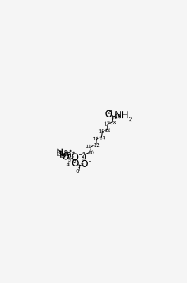 CC(=O)[O-].CC(=O)[O-].CCCCCCCCCCCC(N)=O.[Na+].[Na+]